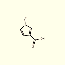 CCn1ccc([N+](=O)O)c1